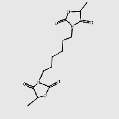 CC1OC(=O)N(CCCCCCN2C(=O)OC(C)C2=O)C1=O